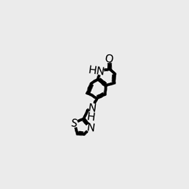 O=c1ccc2cc(NCc3nccs3)ccc2[nH]1